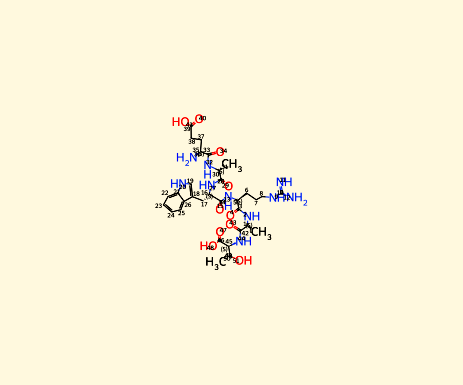 C[C@H](NC(=O)[C@H](CCCNC(=N)N)NC(=O)[C@H](Cc1c[nH]c2ccccc12)NC(=O)[C@H](C)NC(=O)[C@@H](N)CCC(=O)O)C(=O)N[C@H](C(=O)O)[C@@H](C)O